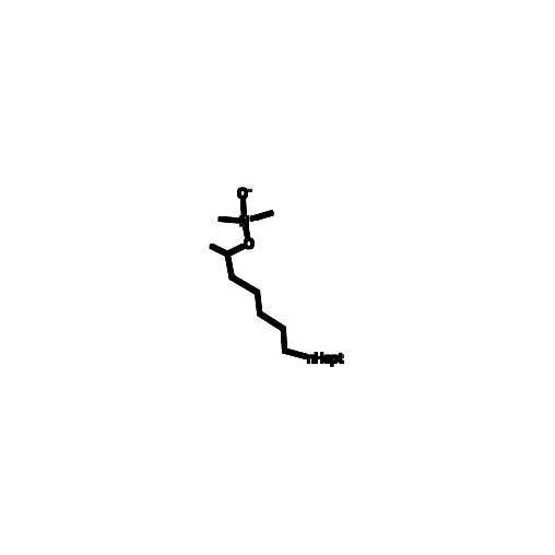 CCCCCCCCCCCCC(C)O[N+](C)(C)[O-]